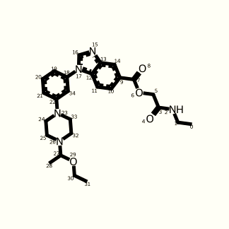 CCNC(=O)COC(=O)c1ccc2c(c1)ncn2-c1cccc(N2CCN(C(C)OCC)CC2)c1